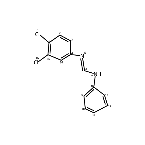 Clc1ccc(/N=C/Nc2ccccc2)cc1Cl